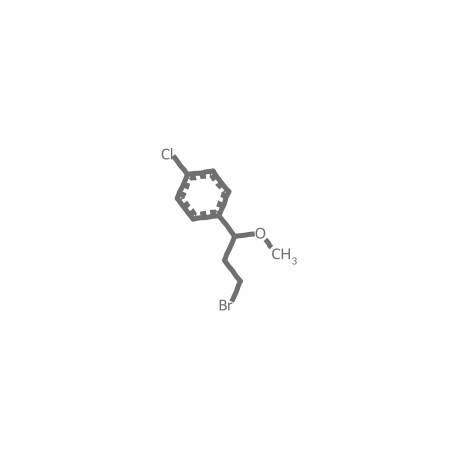 COC(CCBr)c1ccc(Cl)cc1